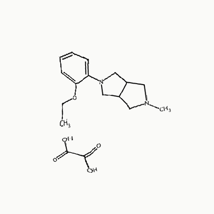 CCOc1ccccc1N1CC2CN(C)CC2C1.O=C(O)C(=O)O